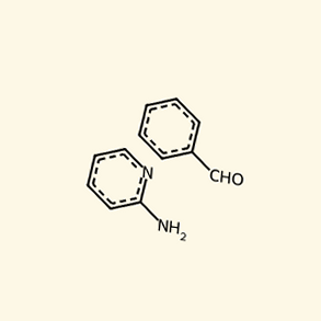 Nc1ccccn1.O=Cc1ccccc1